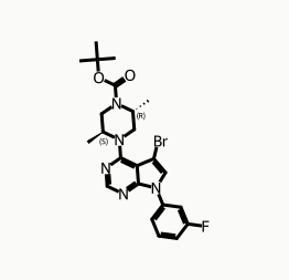 C[C@@H]1CN(c2ncnc3c2c(Br)cn3-c2cccc(F)c2)[C@@H](C)CN1C(=O)OC(C)(C)C